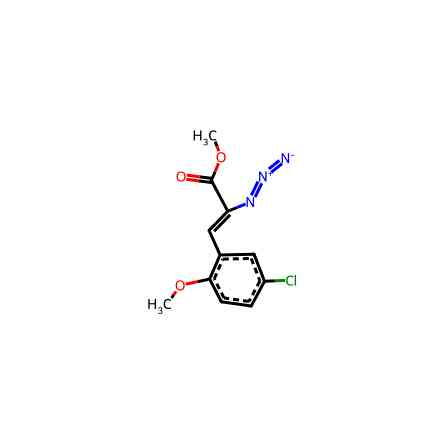 COC(=O)C(=Cc1cc(Cl)ccc1OC)N=[N+]=[N-]